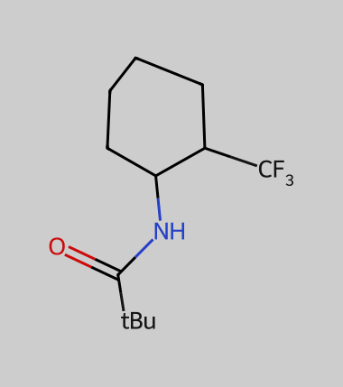 CC(C)(C)C(=O)NC1CCCCC1C(F)(F)F